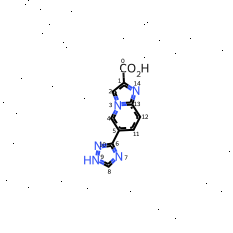 O=C(O)c1cn2cc(-c3nc[nH]n3)ccc2n1